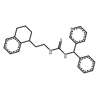 S=C(NCCC1CCCc2ccccc21)NC(c1ccccc1)c1cccnc1